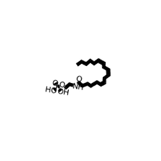 CCCCC/C=C\C/C=C\C/C=C\CCCCC(=O)NCCOP(=O)(O)O